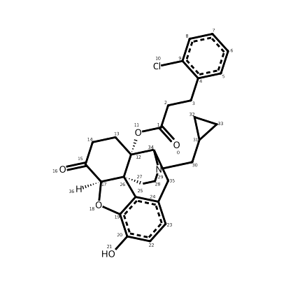 O=C(CCc1ccccc1Cl)O[C@@]12CCC(=O)[C@@H]3Oc4c(O)ccc5c4[C@@]31CCN(CC1CC1)C2C5